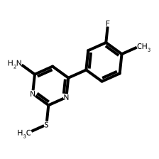 CSc1nc(N)cc(-c2ccc(C)c(F)c2)n1